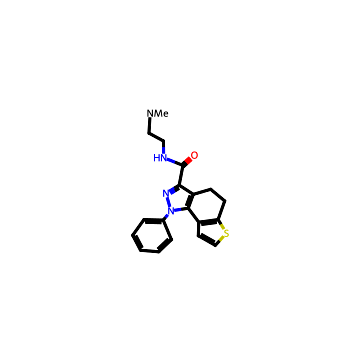 CNCCNC(=O)c1nn(-c2ccccc2)c2c1CCc1sccc1-2